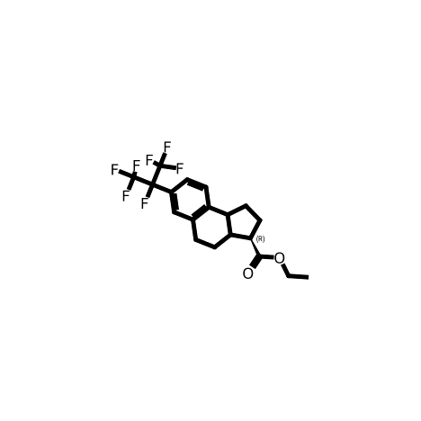 CCOC(=O)[C@@H]1CCC2c3ccc(C(F)(C(F)(F)F)C(F)(F)F)cc3CCC21